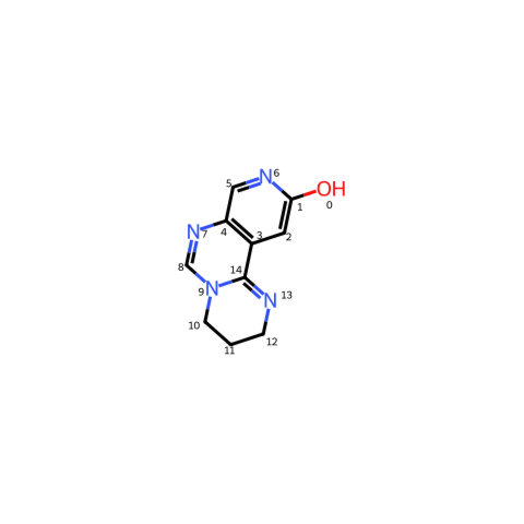 Oc1cc2c(cn1)N=CN1CCCN=C21